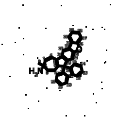 CC1(N)C=CC2=C(C=C1)C(c1ccccc1)(c1ccccc1)c1cc3oc4ccccc4c3cc12